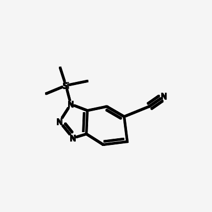 C[Si](C)(C)n1nnc2ccc(C#N)cc21